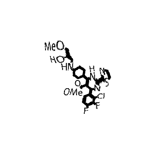 COC[C@H](O)CNC1CCC(C2=C(C(=O)OC)C(c3ccc(F)c(F)c3Cl)N=C(c3nccs3)N2)CC1